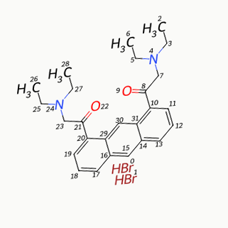 Br.Br.CCN(CC)CC(=O)c1cccc2cc3cccc(C(=O)CN(CC)CC)c3cc12